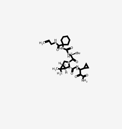 C=CCNC(=O)C1(NC(=O)N[C@H](C(=O)N2C[C@H]3[C@@H]([C@H]2C(=O)NC(C(=O)C(N)=O)C2CC2)C3(C)C)C(C)(C)C)CCCCC1